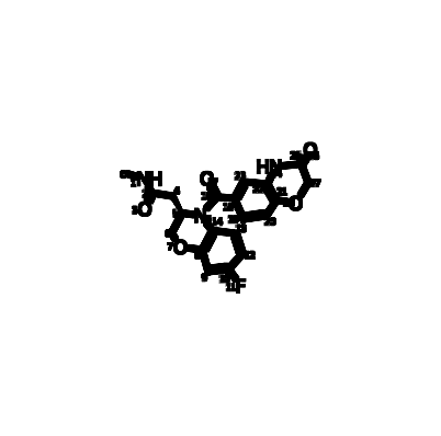 CNC(=O)C[C@@H]1COc2cc(F)ccc2N1C(=O)c1ccc2c(c1)NC(=O)CO2